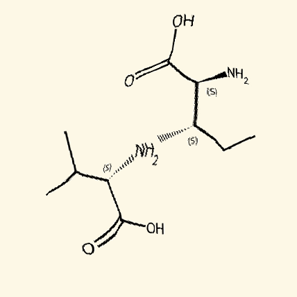 CC(C)[C@H](N)C(=O)O.CC[C@H](C)[C@H](N)C(=O)O